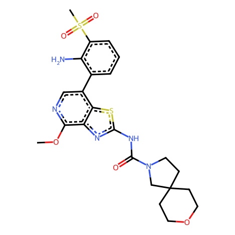 COc1ncc(-c2cccc(S(C)(=O)=O)c2N)c2sc(NC(=O)N3CCC4(CCOCC4)C3)nc12